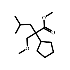 COCC(CC(C)C)(C(=O)OC)C1CCCC1